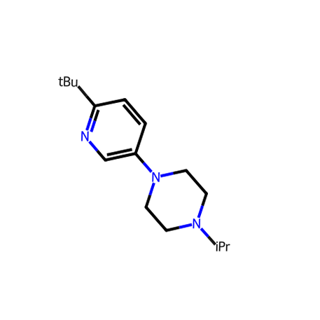 CC(C)N1CCN(c2ccc(C(C)(C)C)nc2)CC1